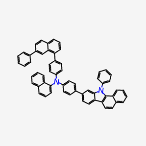 c1ccc(-c2ccc3cccc(-c4ccc(N(c5ccc(-c6ccc7c8ccc9ccccc9c8n(-c8ccccc8)c7c6)cc5)c5cccc6ccccc56)cc4)c3c2)cc1